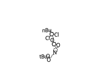 CCCCc1cc(Cl)c(COc2ccc3c(c2)OCC32CCN(CCCC(=O)OC(C)(C)C)CC2)c(Cl)c1